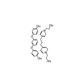 OCCN1C=CC(CCCC2=CCN(CCO)C=C2)=CC1.Oc1ccc(Oc2cccc(Oc3ccc(O)cc3)c2)cc1